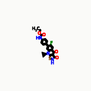 CCOC(=O)Nc1ccc(-c2cc3c(cc2F)c(=O)c2c(=O)[nH]sc2n3C2CC2)cc1